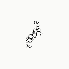 CC(=O)OC[C@]12CCC(C(C)C)=C1C1=CCC3[C@@]4(C)CC[C@H](OC(C)=O)C(C)(C)[C@@H]4CC[C@@]3(C)[C@]1(C)CC2